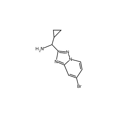 NC(c1nc2cc(Br)ccn2n1)C1CC1